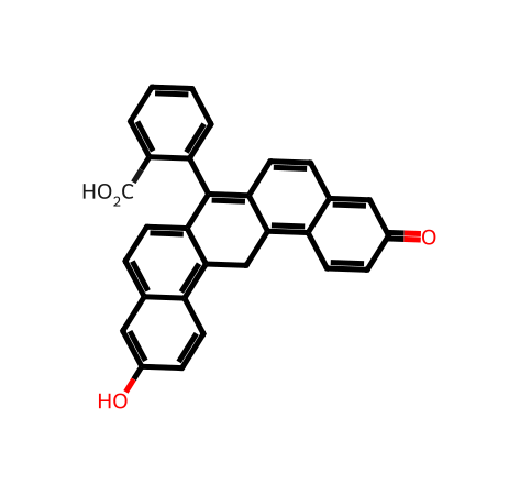 O=C1C=Cc2c3c(ccc2=C1)=C(c1ccccc1C(=O)O)c1ccc2cc(O)ccc2c1C3